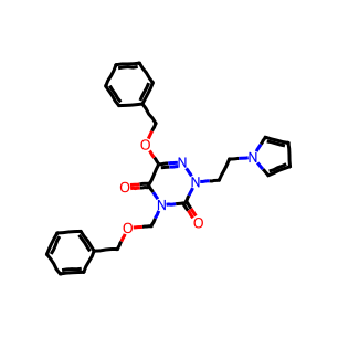 O=c1c(OCc2ccccc2)nn(CCn2cccc2)c(=O)n1COCc1ccccc1